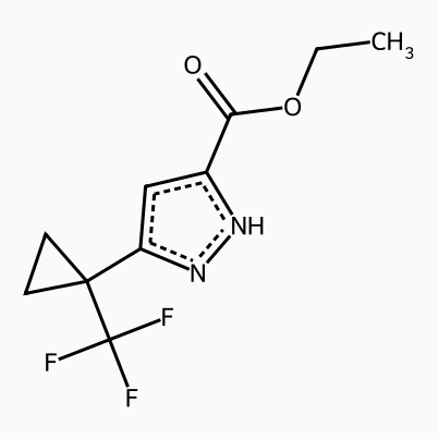 CCOC(=O)c1cc(C2(C(F)(F)F)CC2)n[nH]1